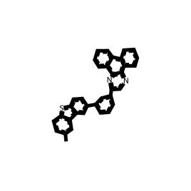 Cc1ccc2sc3ccc(-c4cccc(-c5cnc6c7ccccc7c7ccccc7c6n5)c4)cc3c2c1